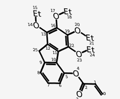 C=CC(=O)Oc1cccc2c1-c1c(c(OCC)c(OCC)c(OCC)c1OCC)C2